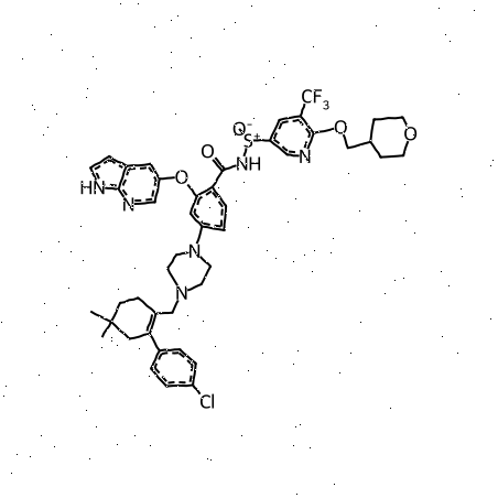 CC1(C)CCC(CN2CCN(c3ccc(C(=O)N[S+]([O-])c4cnc(OCC5CCOCC5)c(C(F)(F)F)c4)c(Oc4cnc5[nH]ccc5c4)c3)CC2)=C(c2ccc(Cl)cc2)C1